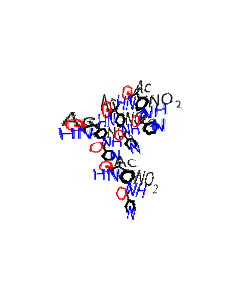 CC(=O)C1(C)C(=O)Nc2cc(NC(=O)c3cccnc3)c([N+](=O)[O-])cc21.CC(=O)C1(C)C(=O)Nc2cc(NC(=O)c3ccncc3)c([N+](=O)[O-])cc21.CC(=O)C1C(=O)Nc2cc(NC(=O)c3cccnc3)c([N+](=O)[O-])cc21.CC(=O)C1C(=O)Nc2cc(NC(=O)c3ccncc3)c([N+](=O)[O-])cc21